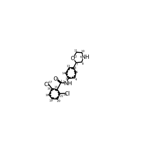 O=C(Nc1ccc(C2CNCCO2)cc1)c1c(Cl)cccc1Cl